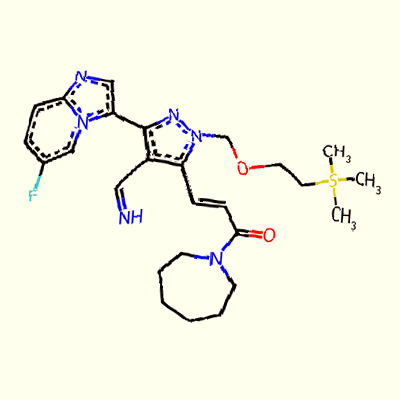 CS(C)(C)CCOCn1nc(-c2cnc3ccc(F)cn23)c(C=N)c1/C=C/C(=O)N1CCCCCC1